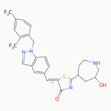 O=C1N=C(C2CCNCC(O)C2)S/C1=C\c1ccc2c(cnn2Cc2ccc(C(F)(F)F)cc2C(F)(F)F)c1